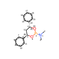 CN(C)P1O[C@@H](c2ccccc2)C[C@H](c2ccccc2)O1